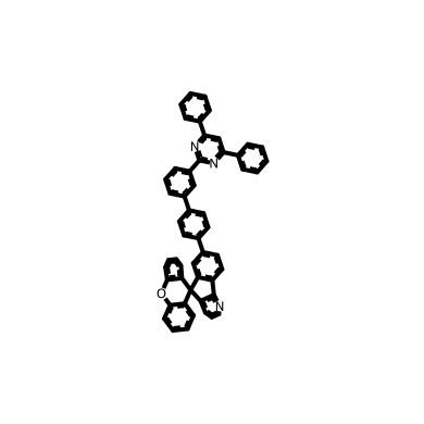 c1ccc(-c2cc(-c3ccccc3)nc(-c3cccc(-c4ccc(-c5ccc6c(c5)C5(c7ccccc7Oc7ccccc75)c5cccnc5-6)cc4)c3)n2)cc1